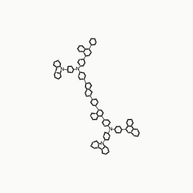 c1ccc(-c2ccc(-c3ccc(N(c4ccc(-c5ccc6cc(-c7ccc(-c8ccc(-c9ccc(N(c%10ccc(-c%11cc%12ccccc%12c%12ccccc%11%12)cc%10)c%10ccc(-n%11c%12ccccc%12c%12ccccc%12%11)cc%10)cc9)c9ccccc89)cc7)ccc6c5)cc4)c4ccc(-n5c6ccccc6c6ccccc65)cc4)cc3)c3ccccc23)cc1